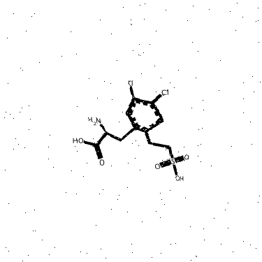 N[C@@H](Cc1cc(Cl)c(Cl)cc1CCS(=O)(=O)O)C(=O)O